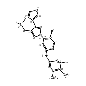 COc1cc(Nc2ncc(F)c(-n3cc(CN(C)C)c(-c4ccoc4)c3)n2)cc(C)c1OC